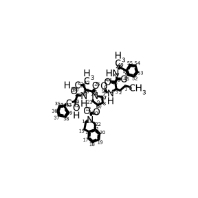 CCCC(NC(=O)[C@@H]1C[C@H](OC(=O)N2CCc3ccccc3C2)CN1C(=O)[C@@H](NC(=O)[C@@H](O)Cc1ccccc1)C(C)C)C(=O)C(=O)N[C@@H](C)c1ccccc1